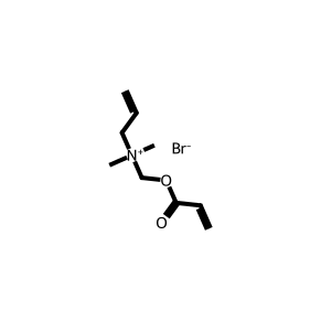 C=CC[N+](C)(C)COC(=O)C=C.[Br-]